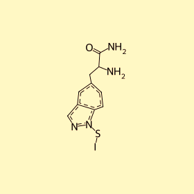 NC(=O)C(N)Cc1ccc2c(cnn2SI)c1